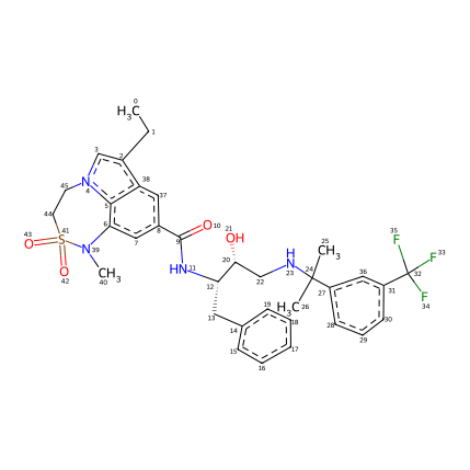 CCc1cn2c3c(cc(C(=O)N[C@@H](Cc4ccccc4)[C@H](O)CNC(C)(C)c4cccc(C(F)(F)F)c4)cc13)N(C)S(=O)(=O)CC2